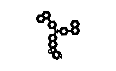 c1ccc2c(-c3ccc(N(c4ccc(-c5cccc6ccccc56)cc4)c4ccc5cc6oc7ccncc7c6cc5c4)cc3)cccc2c1